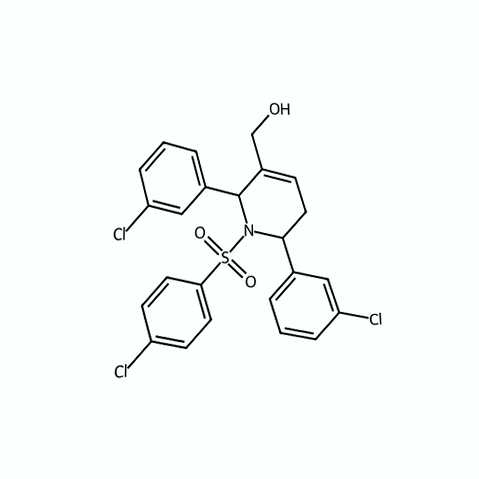 O=S(=O)(c1ccc(Cl)cc1)N1C(c2cccc(Cl)c2)CC=C(CO)C1c1cccc(Cl)c1